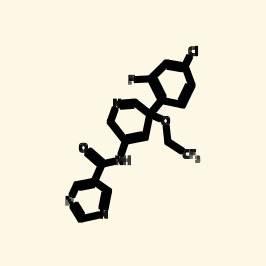 O=C(NC1=CC(OCC(F)(F)F)(c2ccc(Cl)cc2F)C=NC1)c1cncnc1